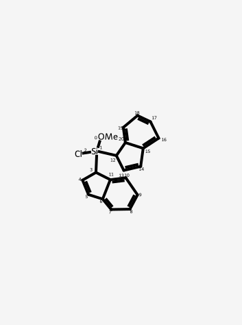 CO[Si](Cl)(C1C=Cc2ccccc21)C1C=Cc2ccccc21